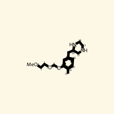 COCCOCOc1cc(CC2CNCCN2)ccc1C